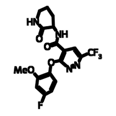 COc1cc(F)ccc1Oc1nnc(C(F)(F)F)cc1C(=O)NC1CCCNC1=O